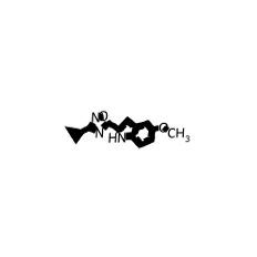 COc1ccc2[nH]c(-c3nc(C4CC4)no3)cc2c1